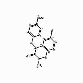 COc1ccc(CN2C(=O)C(C)Cc3ccc(F)cc32)cc1